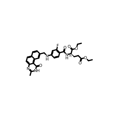 CCOC(=O)CC[C@@H](NC(=O)c1ccc(NCc2ccc3ccc4nc(C)[nH]c(=O)c4c3c2)cc1F)C(=O)OCC